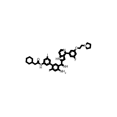 N=C(c1cc2c(-c3cc(F)cc(OCCN4CCCC4)c3)nccc2[nH]1)c1cc(-c2cc(I)cc(NC(=O)CC3CCCCC3)c2)c(I)cc1N